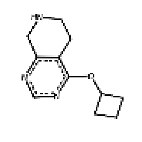 c1nc2c(c(OC3CCC3)n1)CCNC2